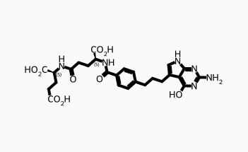 Nc1nc(O)c2c(CCCc3ccc(C(=O)N[C@@H](CCC(=O)N[C@@H](CCC(=O)O)C(=O)O)C(=O)O)cc3)c[nH]c2n1